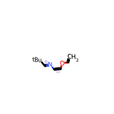 C=CO/C=C\N=C\C(C)(C)C